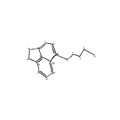 CCCCCc1ccc2c3c(cccc13)CC2